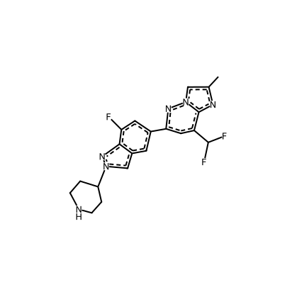 Cc1cn2nc(-c3cc(F)c4nn(C5CCNCC5)cc4c3)cc(C(F)F)c2n1